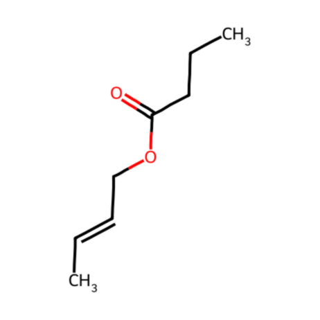 CC=CCOC(=O)CCC